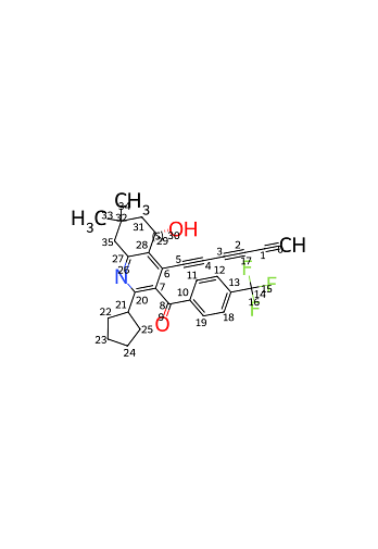 C#CC#CC#Cc1c(C(=O)c2ccc(C(F)(F)F)cc2)c(C2CCCC2)nc2c1[C@@H](O)CC(C)(C)C2